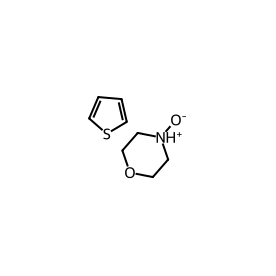 [O-][NH+]1CCOCC1.c1ccsc1